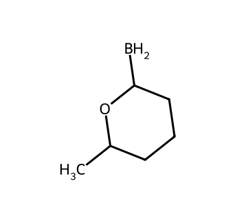 BC1CCCC(C)O1